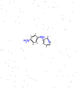 Nc1ccc(Nc2cccnc2)cc1